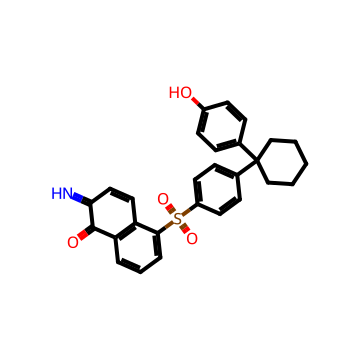 N=C1C=Cc2c(cccc2S(=O)(=O)c2ccc(C3(c4ccc(O)cc4)CCCCC3)cc2)C1=O